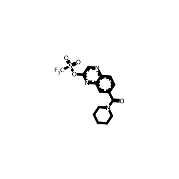 O=C(c1ccc2ncc(OS(=O)(=O)C(F)(F)F)nc2c1)N1CCCCC1